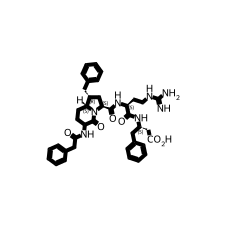 N=C(N)NCC[C@H](NC(=O)[C@@H]1C[C@@H](Cc2ccccc2)[C@@H]2CCC(NC(=O)Cc3ccccc3)C(=O)N12)C(=O)N[C@H](CC(=O)O)Cc1ccccc1